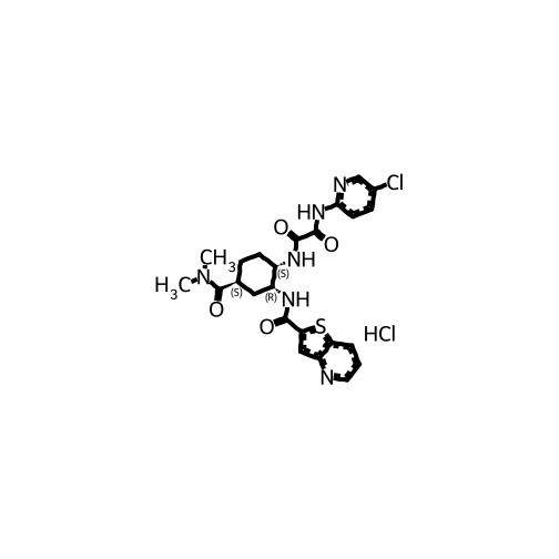 CN(C)C(=O)[C@H]1CC[C@H](NC(=O)C(=O)Nc2ccc(Cl)cn2)[C@H](NC(=O)c2cc3ncccc3s2)C1.Cl